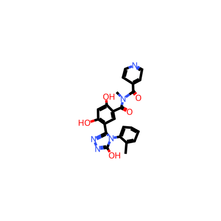 Cc1ccccc1-n1c(O)nnc1-c1cc(C(=O)N(C)C(=O)c2ccncc2)c(O)cc1O